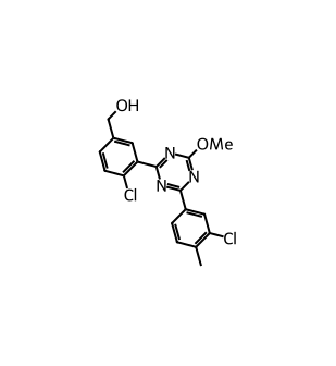 COc1nc(-c2ccc(C)c(Cl)c2)nc(-c2cc(CO)ccc2Cl)n1